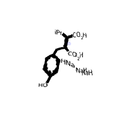 CC(C)/C(C(=O)O)=C(\Cc1ccc(O)cc1)C(=O)O.[NaH].[NaH].[NaH]